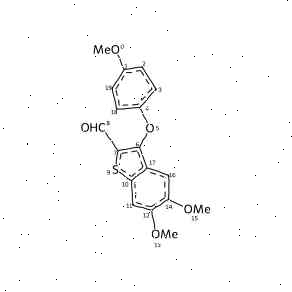 COc1ccc(Oc2c(C=O)sc3cc(OC)c(OC)cc23)cc1